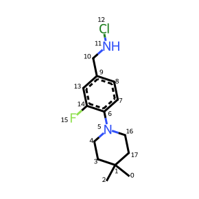 CC1(C)CCN(c2ccc(CNCl)cc2F)CC1